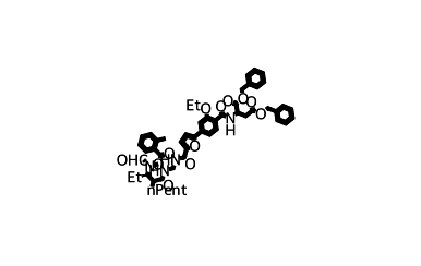 CCCCCC(C(=O)NCNC(=O)c1ccc(-c2ccc(C(=O)NC(CC(=O)OCc3ccccc3)C(=O)OCc3ccccc3)c(OCC)c2)o1)[C@@H](CC)N(C=O)OC(=O)c1ccccc1C